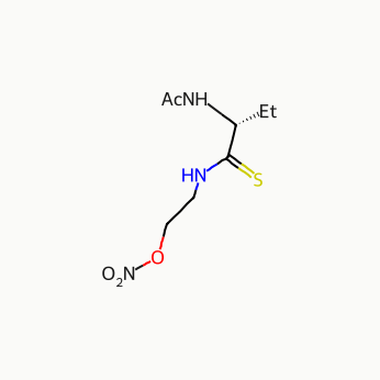 CC[C@@H](NC(C)=O)C(=S)NCCO[N+](=O)[O-]